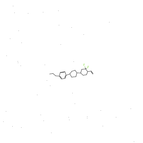 C=CC1CCC(C2CCC(c3ccc(CCC)cc3)CC2)CC1(F)F